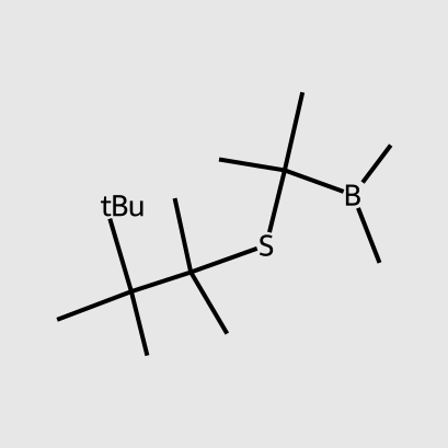 CB(C)C(C)(C)SC(C)(C)C(C)(C)C(C)(C)C